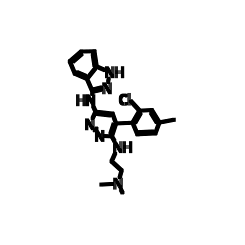 Cc1ccc(-c2cc(Nc3n[nH]c4ccccc34)nnc2NCCN(C)C)c(Cl)c1